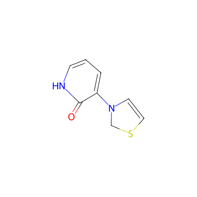 O=c1[nH]cccc1N1C=CSC1